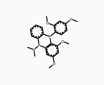 COc1ccc(P(c2ccc(OC)cc2OC)c2ccccc2P(N(C)C)N(C)C)c(OC)c1